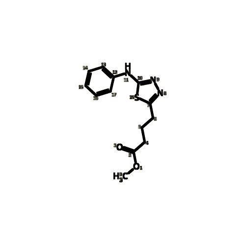 COC(=O)CCCc1nnc(Nc2ccccc2)s1